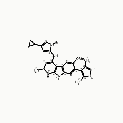 CCn1nc(C2CC2)cc1NC1=NC(N)Nc2[nH]c3cc(-c4c(C)noc4C)c(OC)cc3c21